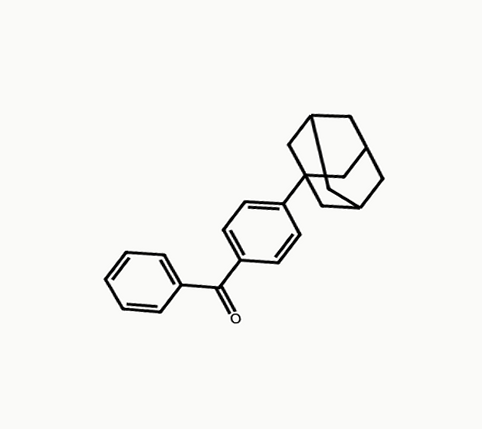 O=C(c1ccccc1)c1ccc(C23CC4CC(CC(C4)C2)C3)cc1